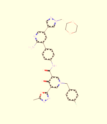 Cc1nnc(-c2cn(Cc3ccc(F)cc3)cc(C(=O)Nc3ccc(-c4cc(-c5cnn(C[C@H]6COCCO6)c5)cnc4N)cc3)c2=O)o1